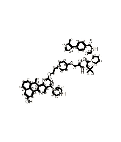 Cc1ncsc1-c1ccc([C@H](C)NC(=O)[C@@H]2CCCN2C(=O)[C@@H](NC(=O)COC2CCN(CCOc3nc(N4CC5CCCC4CN5)c4cnc5c(c4n3)C(C)c3cccc4cc(O)cc-5c34)CC2)C(C)(C)C)cc1